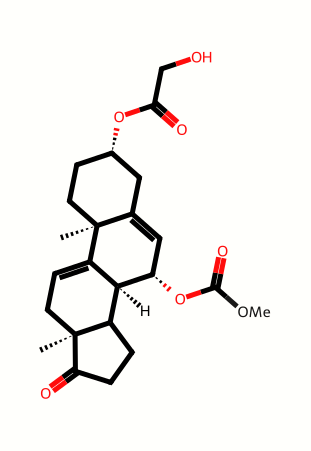 COC(=O)O[C@H]1C=C2C[C@@H](OC(=O)CO)CC[C@]2(C)C2=CC[C@]3(C)C(=O)CCC3[C@@H]21